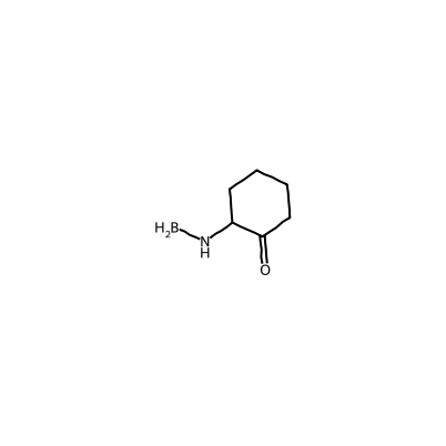 BNC1CCCCC1=O